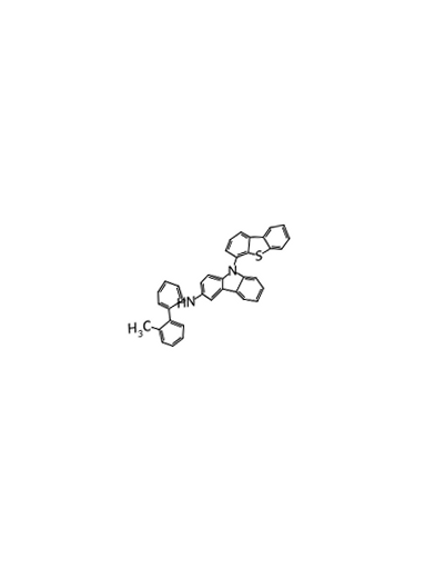 Cc1ccccc1-c1ccccc1Nc1ccc2c(c1)c1ccccc1n2-c1cccc2c1sc1ccccc12